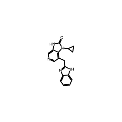 O=c1[nH]c2cncc(Cc3nc4ccccc4[nH]3)c2n1C1CC1